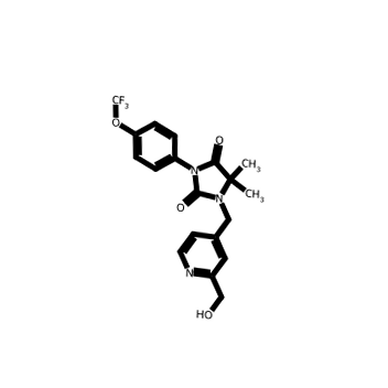 CC1(C)C(=O)N(c2ccc(OC(F)(F)F)cc2)C(=O)N1Cc1ccnc(CO)c1